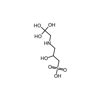 O=S(=O)(O)CC(O)CNCC(O)(O)O